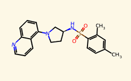 Cc1ccc(S(=O)(=O)N[C@H]2CCN(c3cccc4ncccc34)C2)c(C)c1